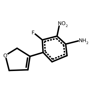 Nc1ccc(C2=CCOC2)c(F)c1[N+](=O)[O-]